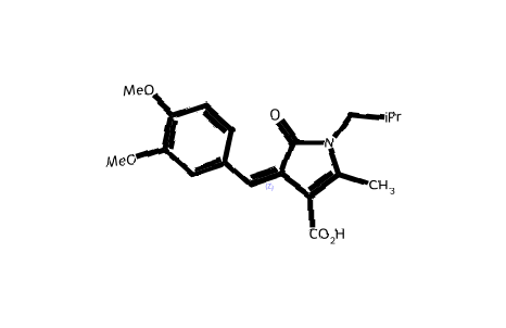 COc1ccc(/C=C2\C(=O)N(CC(C)C)C(C)=C2C(=O)O)cc1OC